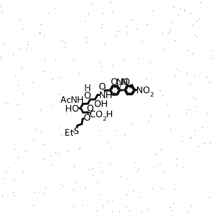 CCSCCCO[C@]1(C(=O)O)CC(O)[C@@H](NC(C)=O)[C@H]([C@H](O)[C@H](O)CNC(=O)c2ccc(-c3ccc([N+](=O)[O-])cc3[N+](=O)[O-])c([N+](=O)[O-])c2)O1